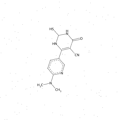 CN(C)c1ccc(C2=C(C#N)C(=O)NC(S)N2)cn1